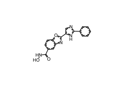 O=C(NO)c1ccc2oc(-c3cnc(-c4ccccc4)[nH]3)nc2c1